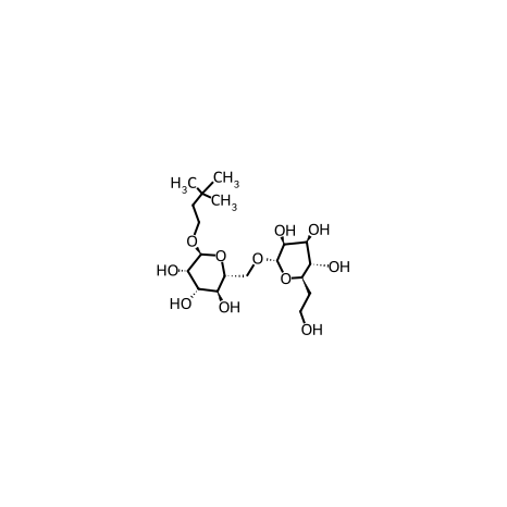 CC(C)(C)CCO[C@H]1O[C@H](CO[C@H]2O[C@H](CCO)[C@@H](O)[C@H](O)[C@@H]2O)[C@@H](O)[C@H](O)[C@@H]1O